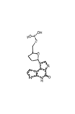 O=c1[nH]c2nccn2c2c1ncn2C1CCC(COP(O)O)O1